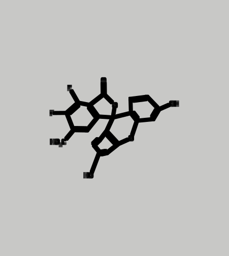 O=C(O)c1cc2c(c(F)c1F)C(=O)OC21c2ccc(O)cc2Oc2cc(O)ccc21